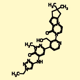 CCn1cc(Nc2cc(-c3ccnc(-n4ccn5c6c(cc5c4=O)CC(C)(C)C6)c3CO)nn(C)c2=O)nn1